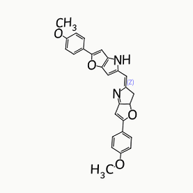 COc1ccc(C2=CC3=N/C(=C\c4cc5oc(-c6ccc(OC)cc6)cc5[nH]4)CC3O2)cc1